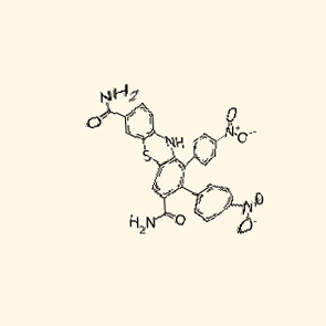 NC(=O)c1ccc2c(c1)Sc1cc(C(N)=O)c(-c3ccc([N+](=O)[O-])cc3)c(-c3ccc([N+](=O)[O-])cc3)c1N2